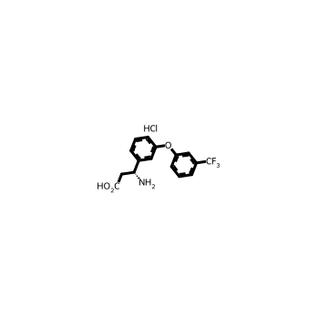 Cl.N[C@H](CC(=O)O)c1cccc(Oc2cccc(C(F)(F)F)c2)c1